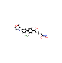 Cl.O=C(CCCCC(O)c1ccc(-c2ccc(CN3CCOCC3)cc2)cc1)NO